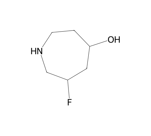 OC1CCNCC(F)C1